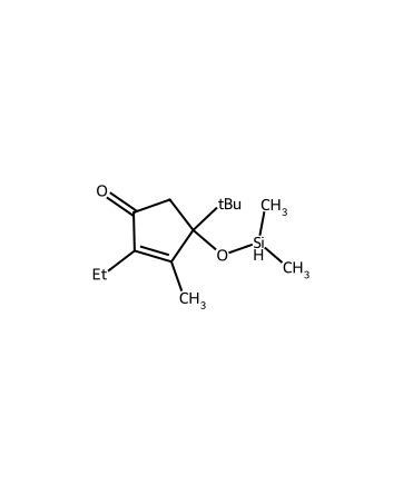 CCC1=C(C)C(O[SiH](C)C)(C(C)(C)C)CC1=O